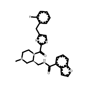 CN1CCN(C(=O)c2nc(Cc3ccccc3F)cs2)[C@@H](CNC(=O)c2cccc3occc23)C1